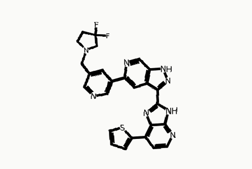 FC1(F)CCN(Cc2cncc(-c3cc4c(-c5nc6c(-c7cccs7)ccnc6[nH]5)n[nH]c4cn3)c2)C1